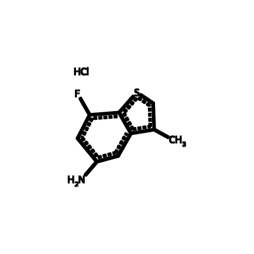 Cc1csc2c(F)cc(N)cc12.Cl